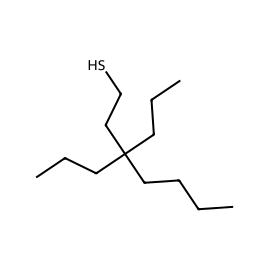 CCCCC(CCC)(CCC)CCS